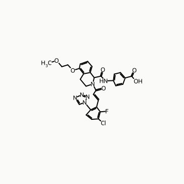 COCCOc1cccc2c1CCN(C(=O)C=Cc1c(-n3cnnn3)ccc(Cl)c1F)C2C(=O)Nc1ccc(C(=O)O)cc1